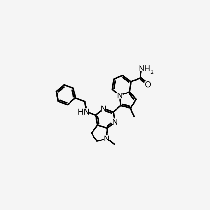 Cc1cc2c(C(N)=O)cccn2c1-c1nc(NCc2ccccc2)c2c(n1)N(C)CC2